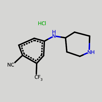 Cl.N#Cc1ccc(NC2CCNCC2)cc1C(F)(F)F